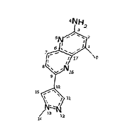 Cc1cc(N)nc2ccc(-c3cnn(C)c3)nc12